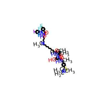 C=N/C(C)=C(\SC)c1ccc([C@H](C)NC(=O)[C@@H]2C[C@@H](O)CN2C(=O)[C@@H](NC(=O)CCCCCCCCCN(C)CCCCONC(=O)c2ccc(F)c(F)c2Nc2ccc(I)cc2F)C(C)(C)C)cc1